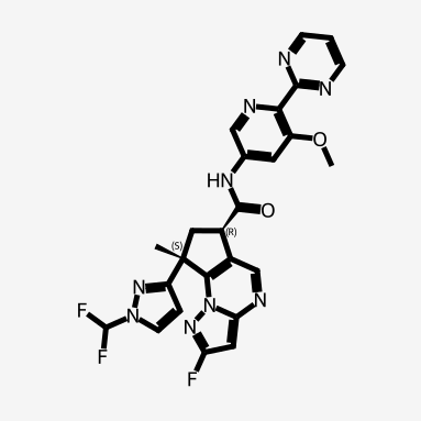 COc1cc(NC(=O)[C@@H]2C[C@@](C)(c3ccn(C(F)F)n3)c3c2cnc2cc(F)nn32)cnc1-c1ncccn1